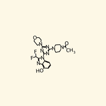 CC(=O)N1CCN(c2nc(N3CCOCC3)nc(-n3c(C(F)F)nc4c(O)cccc43)n2)CC1